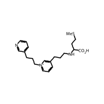 CSCCC(NCCCc1ccc[n+](CCCc2cccnc2)c1)C(=O)O